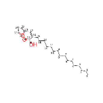 CCCCCCCCCCCCCCCCC(=Cc1ccco1)C(=O)O